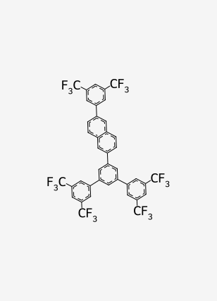 FC(F)(F)c1cc(-c2cc(-c3cc(C(F)(F)F)cc(C(F)(F)F)c3)cc(-c3ccc4cc(-c5cc(C(F)(F)F)cc(C(F)(F)F)c5)ccc4c3)c2)cc(C(F)(F)F)c1